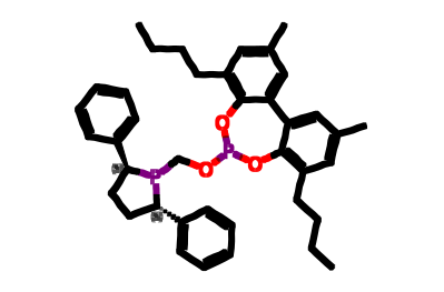 CCCCc1cc(C)cc2c1op(OCP1[C@H](c3ccccc3)CC[C@H]1c1ccccc1)oc1c(CCCC)cc(C)cc12